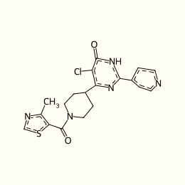 Cc1ncsc1C(=O)N1CCC(c2nc(-c3ccncc3)[nH]c(=O)c2Cl)CC1